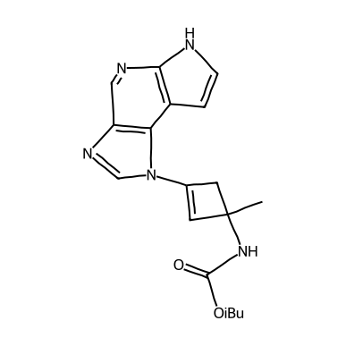 CC(C)COC(=O)NC1(C)C=C(n2cnc3cnc4[nH]ccc4c32)C1